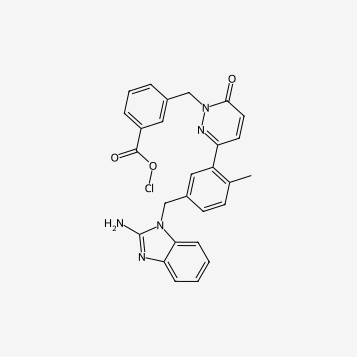 Cc1ccc(Cn2c(N)nc3ccccc32)cc1-c1ccc(=O)n(Cc2cccc(C(=O)OCl)c2)n1